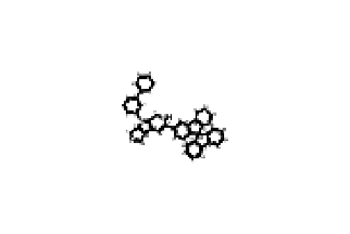 C1=CCCC(c2cccc(-n3c4c(c5c3CNC(c3ccc6c(c3)C3=C(C=CCC3)C63c6ccccc6-c6ccccc63)=C5)C=NC4)c2)=C1